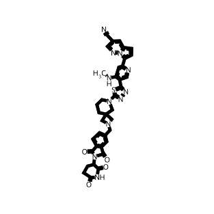 CNc1cc(-c2ccc3cc(C#N)cnn23)ncc1-c1nnc(N2CCCC3(CN(Cc4ccc5c(c4)C(=O)N(C4CCC(=O)NC4=O)C5=O)C3)C2)s1